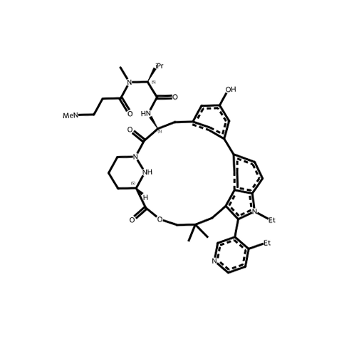 CCc1ccncc1-c1c2c3cc(ccc3n1CC)-c1cc(O)cc(c1)C[C@H](NC(=O)[C@H](C(C)C)N(C)C(=O)CCNC)C(=O)N1CCC[C@H](N1)C(=O)OCC(C)(C)C2